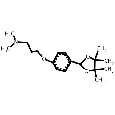 CN(C)CCCOc1ccc(C2OC(C)(C)C(C)(C)O2)cc1